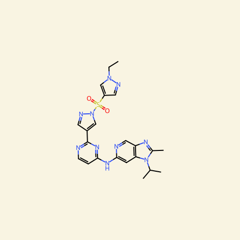 CCn1cc(S(=O)(=O)n2cc(-c3nccc(Nc4cc5c(cn4)nc(C)n5C(C)C)n3)cn2)cn1